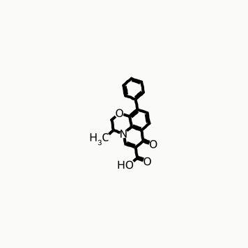 CC1COc2c(-c3ccccc3)ccc3c(=O)c(C(=O)O)cn1c23